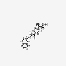 O=C(COc1ccc2ccccc2c1)Nc1ccc(C(=O)C(=O)O)cc1